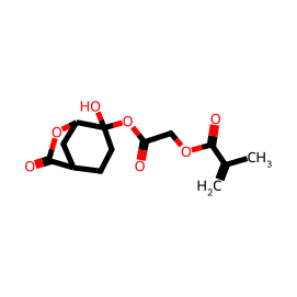 C=C(C)C(=O)OCC(=O)OC1(O)CCC2CC1OC2=O